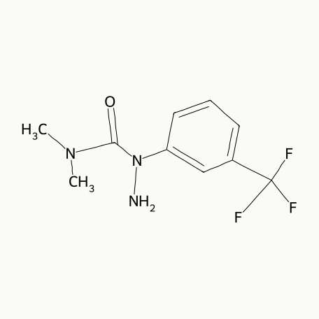 CN(C)C(=O)N(N)c1cccc(C(F)(F)F)c1